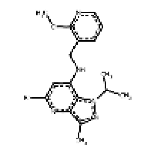 COc1ncccc1CNc1cc(Br)nc2c(C)nn(C(C)C)c12